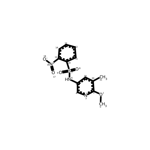 COc1ncc(NS(=O)(=O)c2ccccc2[N+](=O)[O-])cc1C